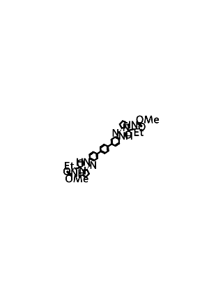 CC[C@H](NC(=O)OC)C(=O)N1CCC[C@H]1c1nc2cc(-c3ccc(-c4ccc5[nH]c([C@@H]6CCCN6C(=O)[C@H](CC)NC(=O)OC)nc5c4)cc3)ccc2[nH]1